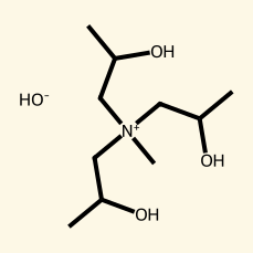 CC(O)C[N+](C)(CC(C)O)CC(C)O.[OH-]